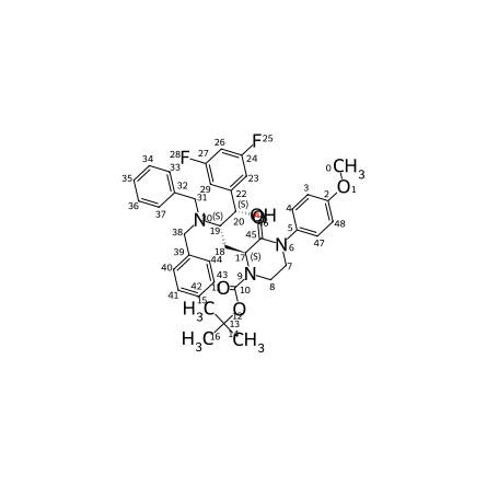 COc1ccc(N2CCN(C(=O)OC(C)(C)C)[C@@H](C[C@@H]([C@@H](O)c3cc(F)cc(F)c3)N(Cc3ccccc3)Cc3ccccc3)C2=O)cc1